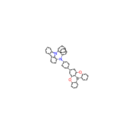 c1ccc(N(c2ccc(-c3cc4c5c(c3)Oc3ccccc3B5c3ccccc3O4)cc2)c2cccc3c4ccccc4n(-c4ccccc4)c23)cc1